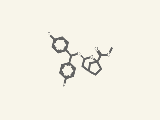 COC(=O)C12CCC(C[C@@H](OC(c3ccc(F)cc3)c3ccc(F)cc3)O1)C2